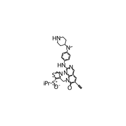 C#Cc1cc2cnc(Nc3ccc(N(C)C4CCNCC4)cc3)nc2n(Cc2ncsc2[S+]([O-])C(C)C)c1=O